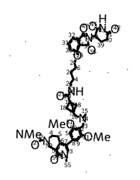 CNC(=O)N1CCc2c(-c3cc(OC)c(CN(C)CC45CC(C(=O)NCCCCCOc6cccc7c6C(=O)N(C6CCC(=O)NC6=O)C7=O)(C4)C5)c(OC)c3)cn(C)c(=O)c2C1